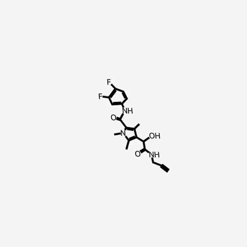 C#CCNC(=O)C(O)c1c(C)c(C(=O)Nc2ccc(F)c(F)c2)n(C)c1C